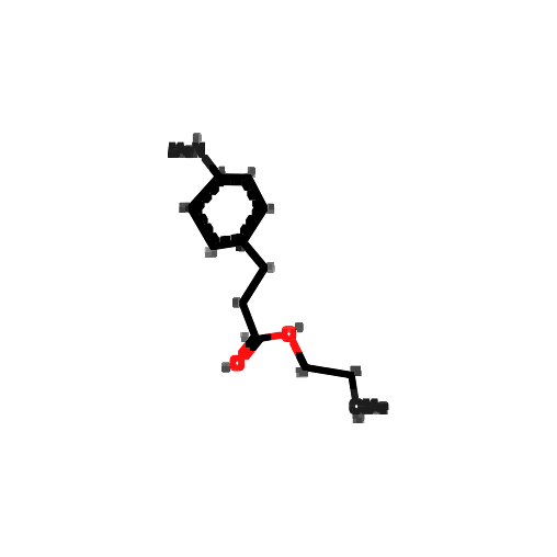 CNc1ccc(CCC(=O)OCCOC)cc1